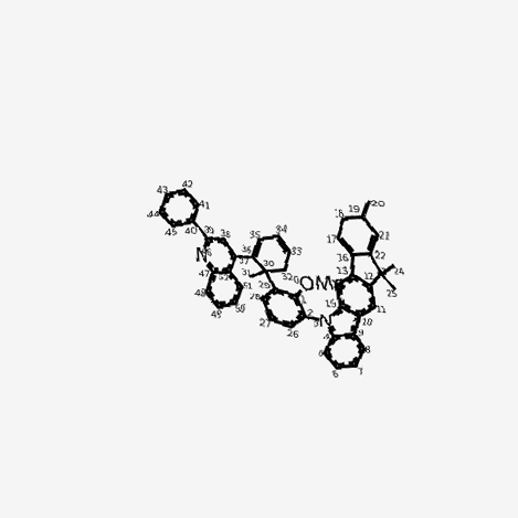 COc1c(-n2c3ccccc3c3cc4c(cc32)C2=CCC(C)C=C2C4(C)C)cccc1C1(C)CC=CC=C1c1cc(-c2ccccc2)nc2ccccc12